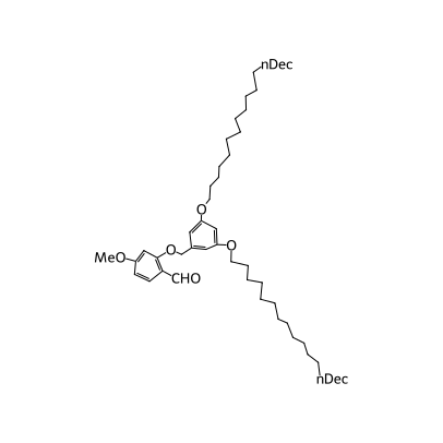 CCCCCCCCCCCCCCCCCCCCCCOc1cc(COc2cc(OC)ccc2C=O)cc(OCCCCCCCCCCCCCCCCCCCCCC)c1